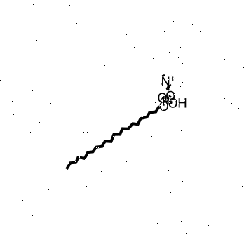 CCCCCCCCCCCCCCCCCCCCCCOP(=O)(O)OCC[N+](C)(C)C